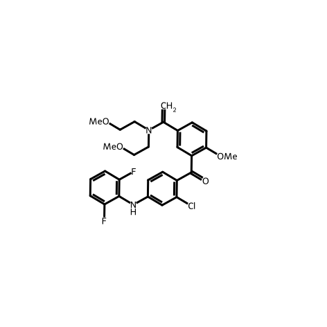 C=C(c1ccc(OC)c(C(=O)c2ccc(Nc3c(F)cccc3F)cc2Cl)c1)N(CCOC)CCOC